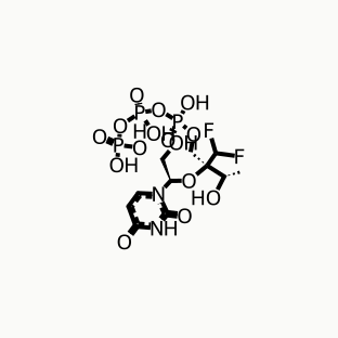 C[C@H](O)[C@@](COP(=O)(O)OP(=O)(O)OP(=O)(O)O)(O[C@H](CO)n1ccc(=O)[nH]c1=O)C(F)F